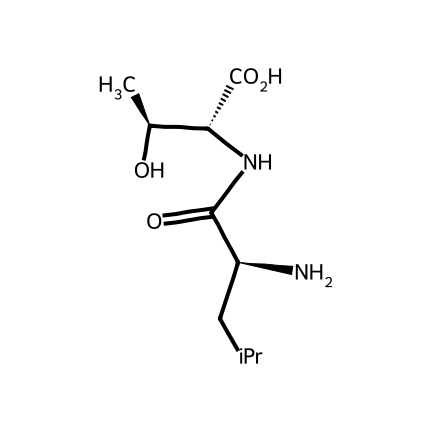 CC(C)C[C@H](N)C(=O)N[C@@H](C(=O)O)[C@H](C)O